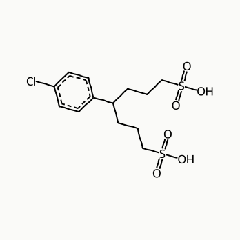 O=S(=O)(O)CCCC(CCCS(=O)(=O)O)c1ccc(Cl)cc1